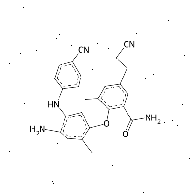 Cc1cc(N)c(Nc2ccc(C#N)cc2)cc1Oc1c(C)cc(CCC#N)cc1C(N)=O